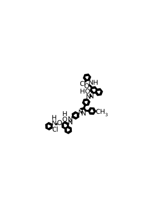 Cc1ccc(-c2nn(-c3ccc(N=Nc4c(O)c(OCNc5ccccc5Cl)cc5ccccc45)cc3)cc2-c2ccc(N=Nc3c(O)c(C(=O)Nc4ccccc4Cl)cc4ccccc34)cc2)cc1